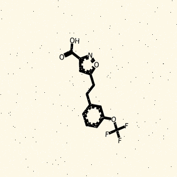 O=C(O)c1cc(CCc2cccc(OC(F)(F)F)c2)on1